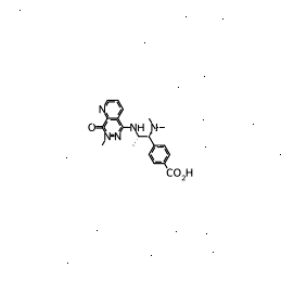 C[C@H](Nc1nn(C)c(=O)c2ncccc12)[C@H](c1ccc(C(=O)O)cc1)N(C)C